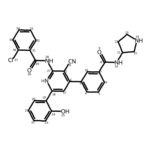 N#Cc1c(-c2cccc(C(=O)NC3CCNC3)c2)cc(-c2ccccc2O)nc1NC(=O)c1ccccc1Cl